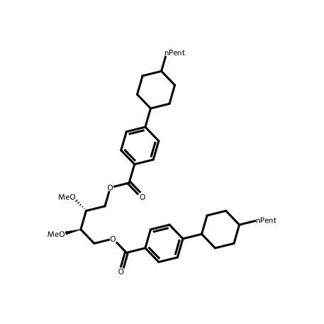 CCCCCC1CCC(c2ccc(C(=O)OC[C@@H](OC)[C@@H](COC(=O)c3ccc(C4CCC(CCCCC)CC4)cc3)OC)cc2)CC1